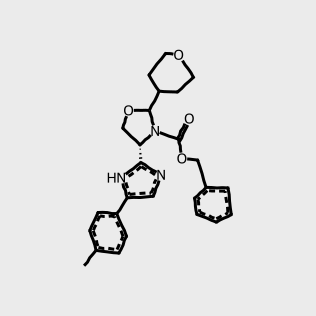 Cc1ccc(-c2cnc([C@@H]3COC(C4CCOCC4)N3C(=O)OCc3ccccc3)[nH]2)cc1